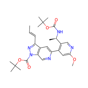 C/C=C/c1nn(C(=O)OC(C)(C)C)c2cnc(-c3cc(OC)ncc3[C@@H](C)NC(=O)OC(C)(C)C)cc12